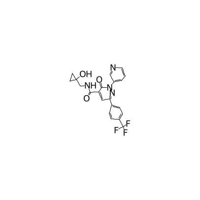 O=C(NCC1(O)CC1)c1cc(-c2ccc(C(F)(F)F)cc2)nn(-c2cccnc2)c1=O